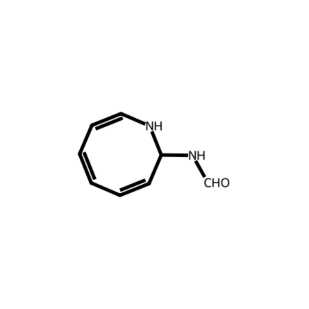 O=CNC1\C=C/C=C\C=C/N1